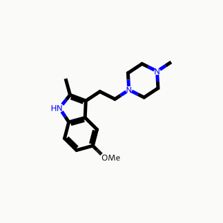 COc1ccc2[nH]c(C)c(CCN3CCN(C)CC3)c2c1